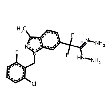 Cc1nn(Cc2c(F)cccc2Cl)c2cc(C(F)(F)/C(=N/N)NN)ccc12